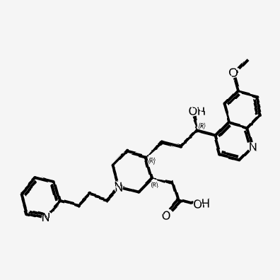 COc1ccc2nccc([C@H](O)CC[C@@H]3CCN(CCCc4ccccn4)C[C@@H]3CC(=O)O)c2c1